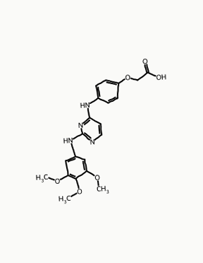 COc1cc(Nc2nccc(Nc3ccc(OCC(=O)O)cc3)n2)cc(OC)c1OC